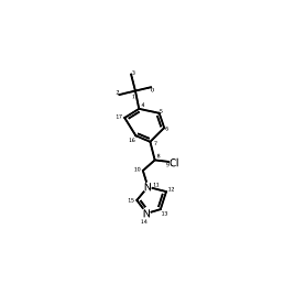 CC(C)(C)c1ccc(C(Cl)Cn2ccnc2)cc1